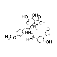 COc1ccc(C[C@@H](C)NC[C@H](O)c2ccc(O)c(NC=O)c2)cc1.O=C(O)C(O)C(O)C(=O)O